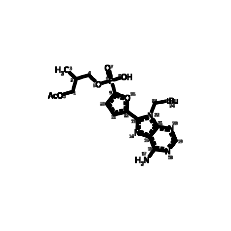 CC(=O)OCC(C)COP(=O)(O)c1ccc(-c2nc3c(N)ncnc3n2CC(C)(C)C)o1